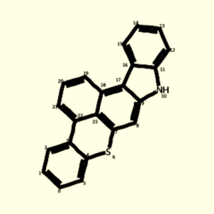 c1ccc2c(c1)Sc1cc3[nH]c4ccccc4c3c3cccc-2c13